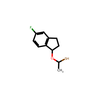 CC(S)OC1CCc2cc(F)ccc21